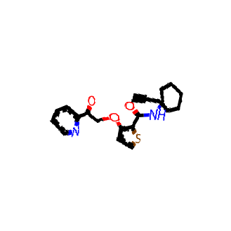 C#CC1(NC(=O)c2sccc2OCC(=O)c2ccccn2)CCCCC1